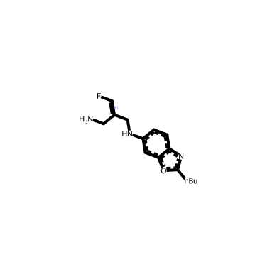 CCCCc1nc2ccc(NC/C(=C/F)CN)cc2o1